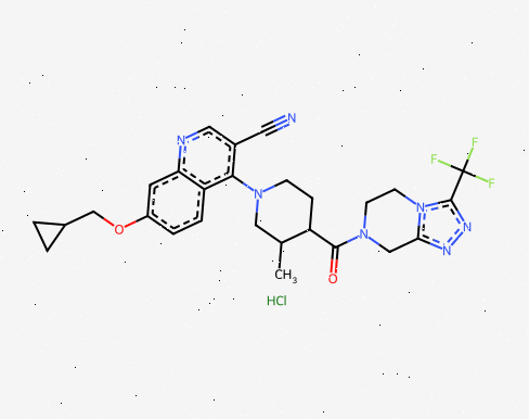 CC1CN(c2c(C#N)cnc3cc(OCC4CC4)ccc23)CCC1C(=O)N1CCn2c(nnc2C(F)(F)F)C1.Cl